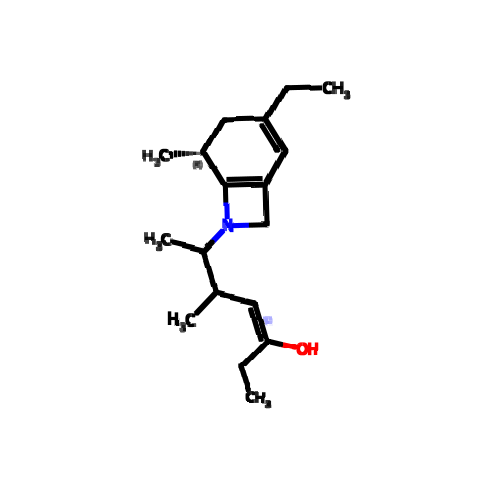 CCC1=CC2=C([C@H](C)C1)N(C(C)C(C)/C=C(/O)CC)C2